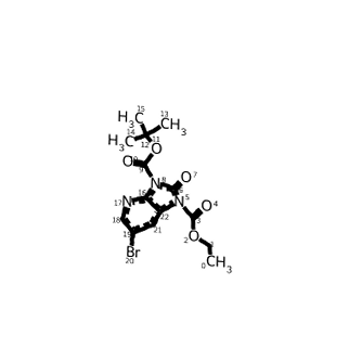 CCOC(=O)n1c(=O)n(C(=O)OC(C)(C)C)c2ncc(Br)cc21